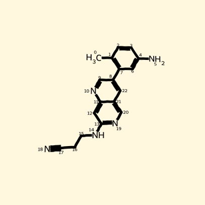 Cc1ccc(N)cc1-c1cnc2cc(NCCC#N)ncc2c1